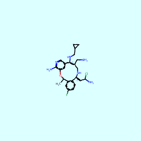 CC1Oc2cc(cnc2N)/C(NCC2CC2)=C(/CN)CN/C(=C\C(N)Cl)c2ccc(F)cc21